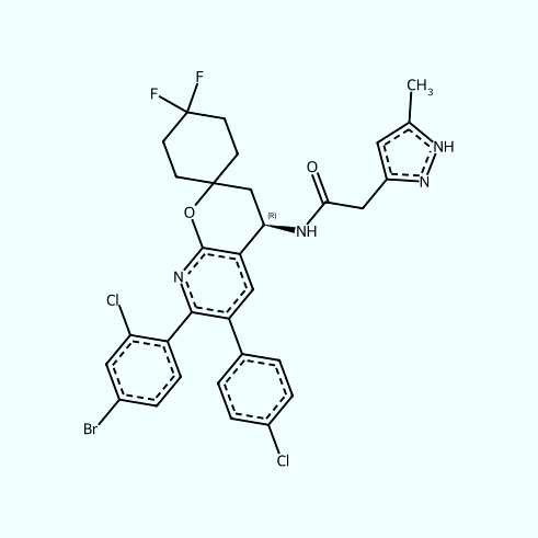 Cc1cc(CC(=O)N[C@@H]2CC3(CCC(F)(F)CC3)Oc3nc(-c4ccc(Br)cc4Cl)c(-c4ccc(Cl)cc4)cc32)n[nH]1